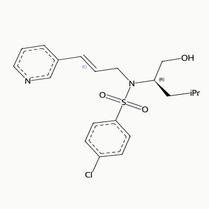 CC(C)C[C@H](CO)N(C/C=C/c1cccnc1)S(=O)(=O)c1ccc(Cl)cc1